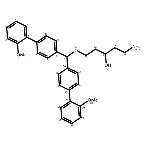 COc1ccccc1-c1ccc(C(OCCC(O)CCN)c2ccc(-c3ccccc3OC)cc2)cc1